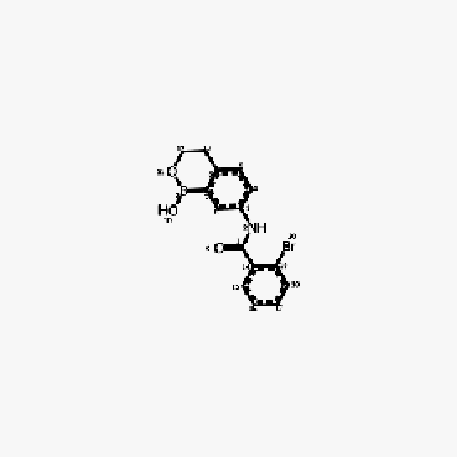 O=C(Nc1ccc2c(c1)B(O)OCC2)c1ccccc1Br